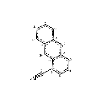 N#Cc1cccc2nc3ccccc3cc12